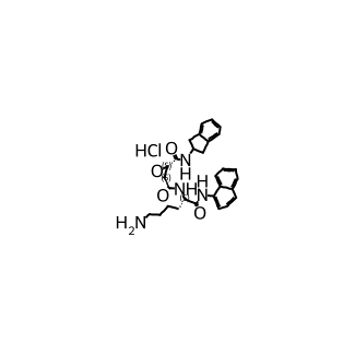 Cl.NCCCC[C@H](NC(=O)[C@H]1O[C@@H]1C(=O)NC1Cc2ccccc2C1)C(=O)Nc1cccc2ccccc12